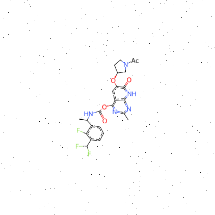 CC(=O)N1CC[C@H](Oc2cc3c(OC(=O)N[C@H](C)c4cccc(C(F)F)c4F)nc(C)nc3[nH]c2=O)C1